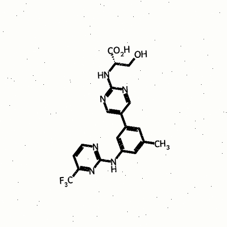 Cc1cc(Nc2nccc(C(F)(F)F)n2)cc(-c2cnc(N[C@@H](CO)C(=O)O)nc2)c1